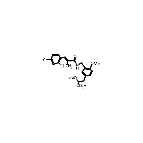 COc1ccc(CC(OC(C)C)C(=O)O)cc1CNC(=O)/C(C)=C/c1ccc(Cl)cc1Cl